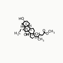 CC[C@H]1[C@@H](O)[C@@H]2[C@H](CC[C@]3(C)[C@@H]([C@H](C)CCC(=O)OC)CC[C@@H]23)[C@@]2(C)CC[C@@H](O)C[C@@H]12